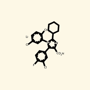 Cc1ccc(Cl)cc1-n1c(C2CCCCC2)nc(C(=O)O)c1-c1ccc(F)c(Cl)c1.[Li]